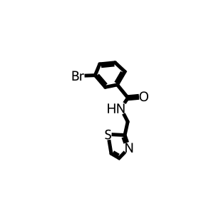 O=C(NCc1nccs1)c1cccc(Br)c1